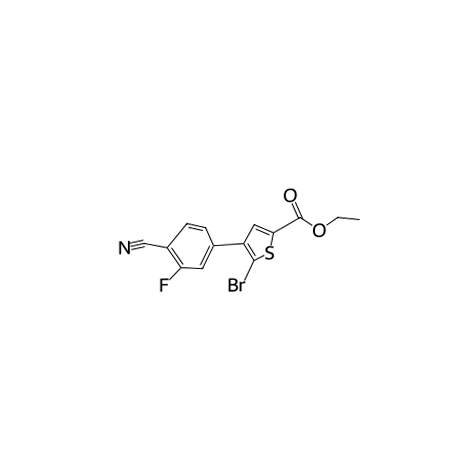 CCOC(=O)c1cc(-c2ccc(C#N)c(F)c2)c(Br)s1